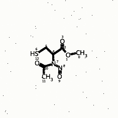 COC(=O)C(CS)N(N=O)C(C)=O